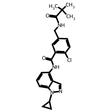 CC(C)(C)C(=O)NCc1ccc(Cl)c(C(=O)Nc2cccc3c2cnn3C2CC2)c1